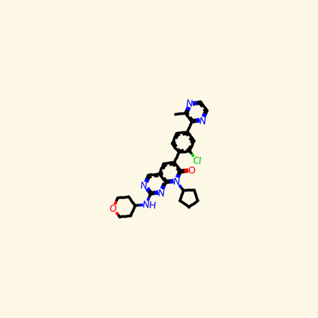 Cc1nccnc1-c1ccc(-c2cc3cnc(NC4CCOCC4)nc3n(C3CCCC3)c2=O)c(Cl)c1